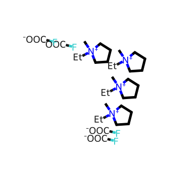 CC[N+]1(C)CCCC1.CC[N+]1(C)CCCC1.CC[N+]1(C)CCCC1.CC[N+]1(C)CCCC1.O=C([O-])F.O=C([O-])F.O=C([O-])F.O=C([O-])F